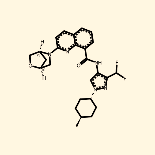 C[C@H]1CC[C@H](n2cc(NC(=O)c3cccc4ccc(N5C[C@@H]6C[C@H]5CO6)nc34)c(C(F)F)n2)CC1